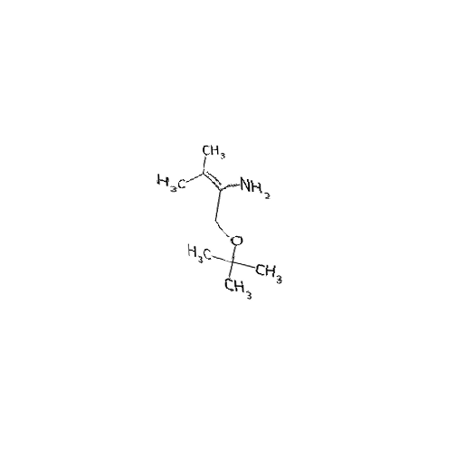 CC(C)=C(N)COC(C)(C)C